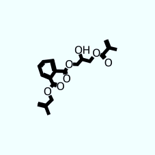 C=C(C)COC(=O)c1ccccc1C(=O)OCC(O)COC(=O)C(=C)C